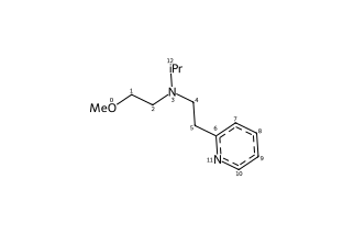 COCCN(CCc1ccccn1)C(C)C